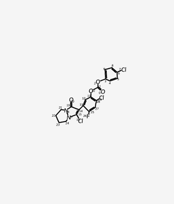 O=C(Oc1ccc(Cl)cc1)Oc1cc(-c2c(Cl)n3n(c2=O)CCCC3)c(F)cc1Cl